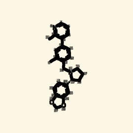 Cc1cc(-c2cccnc2C)ccc1CN1CCC[C@@H]1c1ccc2c(c1)OCO2